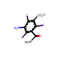 CNC(=O)c1c(I)c(N)c(I)c(C(=O)O)c1I